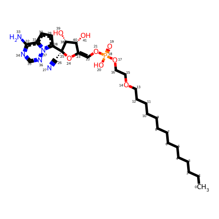 CCCCCCCCCCCCCCOCCOP(=O)(O)O/C=C1/O[C@@](C#N)(c2ccc3c(N)ncnn23)[C@H](O)[C@@H]1O